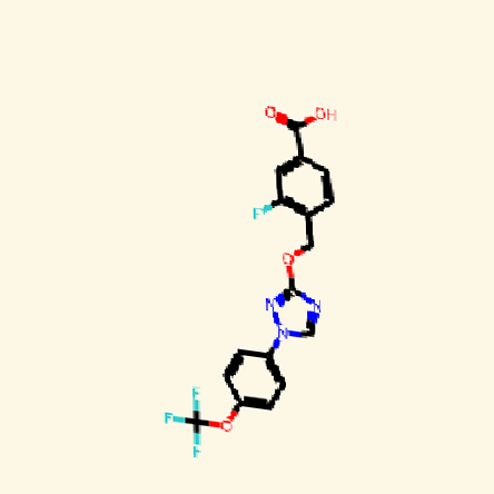 O=C(O)c1ccc(COc2ncn(-c3ccc(OC(F)(F)F)cc3)n2)c(F)c1